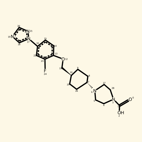 O=C(O)N1CCN([C@H]2CC[C@H](COc3ccc(-n4cncn4)cc3F)CC2)CC1